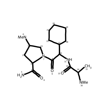 CNC1CC(C(N)=O)N(C(=O)C(NC(=O)C(C)NC)C2CCCCC2)C1